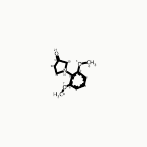 COc1cccc(OC)c1N1CCC(=O)C1